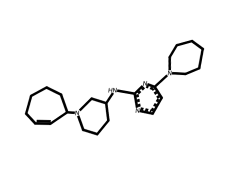 C1=CC(N2CCCC(Nc3nccc(N4CCCCCC4)n3)C2)CCCC1